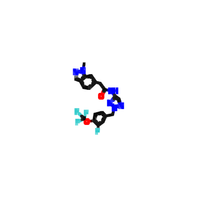 Cn1ncc2ccc(CC(=O)Nc3cnn(Cc4ccc(OC(F)(F)F)c(F)c4)n3)cc21